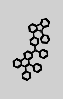 c1ccc(-c2c(-c3ccccc3)c3cc(N(c4ccccc4)c4ccc(-c5cccc6c7ccccc7n(-c7ccccc7)c56)cc4)ccc3c3ccccc23)cc1